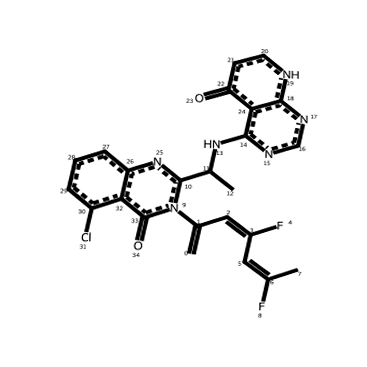 C=C(/C=C(F)\C=C(/C)F)n1c(C(C)Nc2ncnc3[nH]ccc(=O)c23)nc2cccc(Cl)c2c1=O